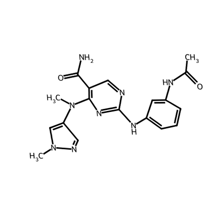 CC(=O)Nc1cccc(Nc2ncc(C(N)=O)c(N(C)c3cnn(C)c3)n2)c1